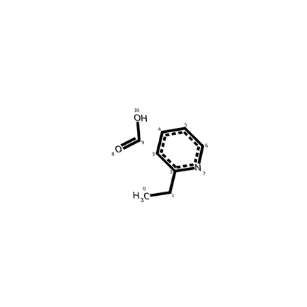 CCc1ccccn1.O=CO